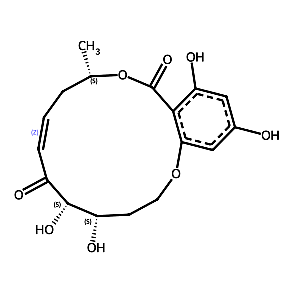 C[C@H]1C/C=C\C(=O)[C@@H](O)[C@@H](O)CCOc2cc(O)cc(O)c2C(=O)O1